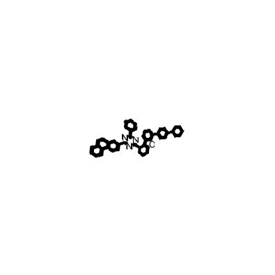 c1ccc(-c2ccc(-c3cccc4c3oc3cccc(-c5nc(-c6ccccc6)nc(-c6ccc7c(ccc8ccccc87)c6)n5)c34)cc2)cc1